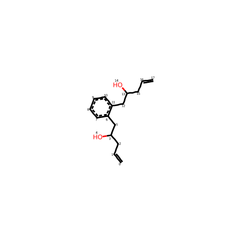 C=CCC(O)Cc1ccccc1CC(O)CC=C